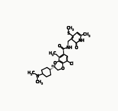 CSc1cc(C)[nH]c(=O)c1CNC(=O)c1cc(Cl)c2c(c1C)O[C@@H](C1CCC(N(C)C)CC1)CO2